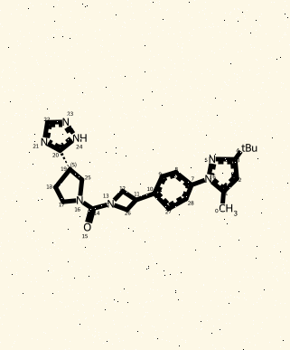 Cc1cc(C(C)(C)C)nn1-c1ccc(C2CN(C(=O)N3CC[C@H](c4ncn[nH]4)C3)C2)cc1